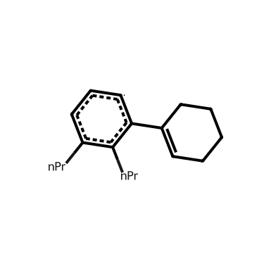 CCCc1cc[c]c(C2=CCCCC2)c1CCC